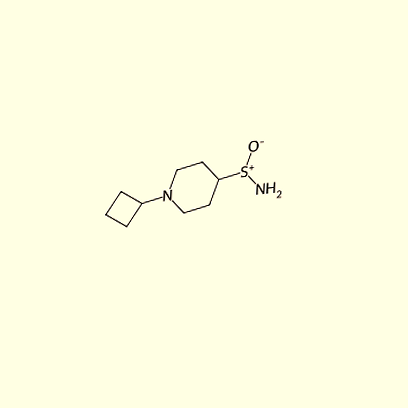 N[S+]([O-])C1CCN(C2CCC2)CC1